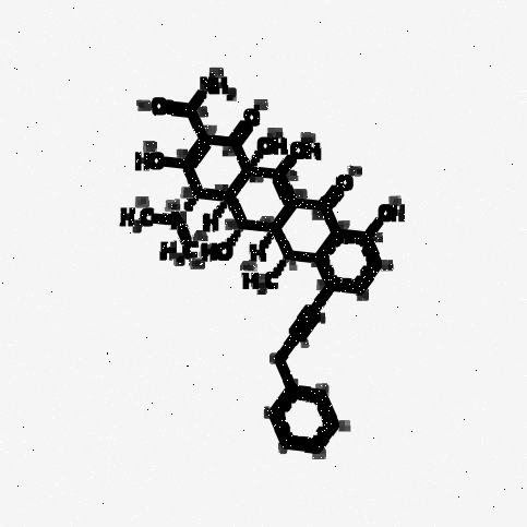 C[C@H]1c2c(C#CCc3ccccc3)ccc(O)c2C(=O)C2=C(O)[C@]3(O)C(=O)C(C(N)=O)=C(O)[C@@H](N(C)C)[C@@H]3[C@@H](O)[C@@H]21